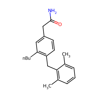 CCCCc1cc(CC(N)=O)ccc1Cc1c(C)cccc1C